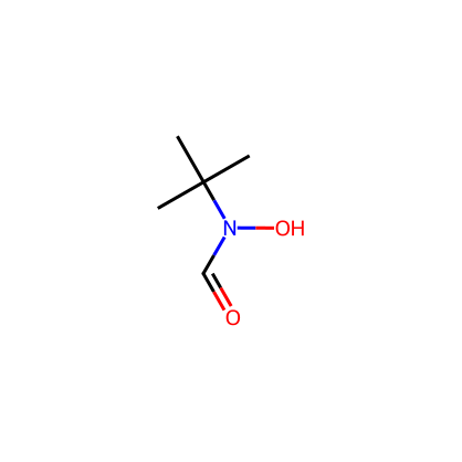 CC(C)(C)N(O)C=O